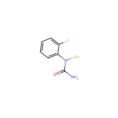 NC(=O)N(S)c1c[c]ccc1F